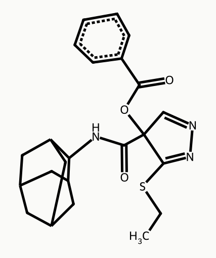 CCSC1=NN=CC1(OC(=O)c1ccccc1)C(=O)NC1C2CC3CC(C2)CC1C3